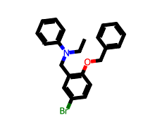 CCN(Cc1cc(Br)ccc1OCc1ccccc1)c1[c]cccc1